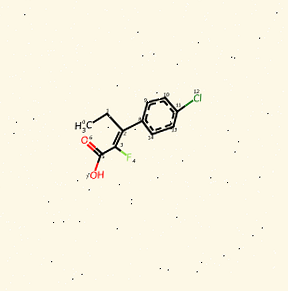 CCC(=C(F)C(=O)O)c1ccc(Cl)cc1